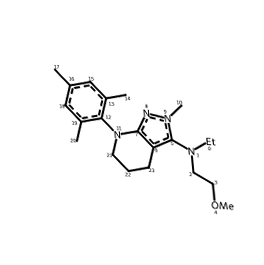 CCN(CCOC)c1c2c(nn1C)N(c1c(C)cc(C)cc1C)CCC2